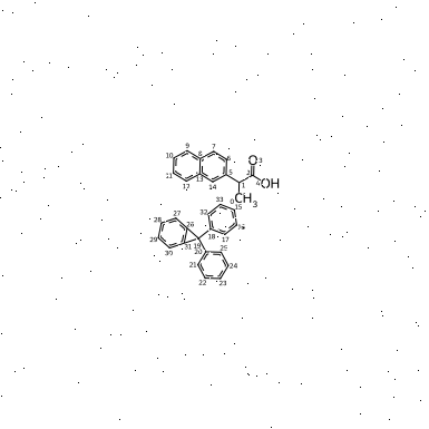 CC(C(=O)O)c1ccc2ccccc2c1.c1ccc(C2(c3ccccc3)c3ccccc32)cc1